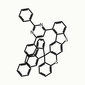 c1ccc(-c2ccc(-c3cc(-c4cccc5sc6cc7c(cc6c45)C4(c5ccccc5S7)c5ccccc5-c5ccccc54)nc(-c4ccccc4)n3)cc2)cc1